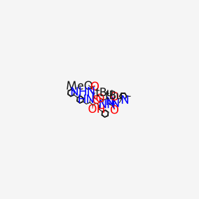 COC(=O)NC(C(=O)NC(Cc1ccc(-c2ccccn2)cc1)C(O)CC(Cc1ccccc1)NC(=O)C(N1CC(=O)N(Cc2cccc(C)n2)C1=O)C(C)(C)C)C(C)(C)C